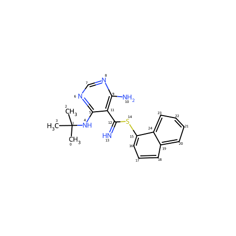 CC(C)(C)Nc1ncnc(N)c1C(=N)Sc1cccc2ccccc12